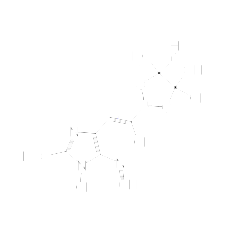 C=Nc1c(/C=C(\C)B2OC(C)(C)C(C)(C)O2)nc(C)n1C